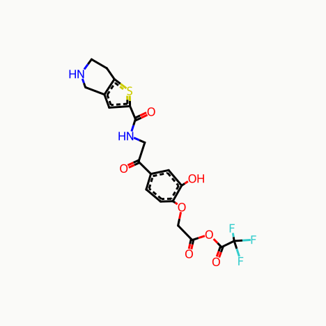 O=C(COc1ccc(C(=O)CNC(=O)c2cc3c(s2)CCNC3)cc1O)OC(=O)C(F)(F)F